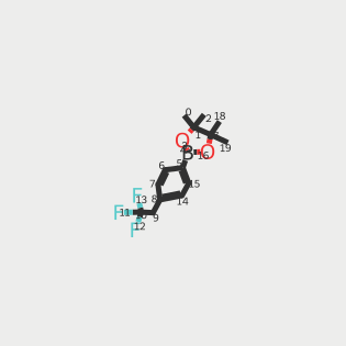 CC1(C)OB(c2ccc(CC(F)(F)F)cc2)OC1(C)C